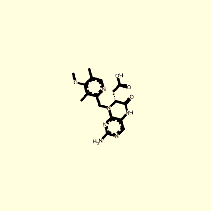 COc1c(C)cnc(CN2c3nc(N)ncc3NC(=O)[C@H]2CC(=O)O)c1C